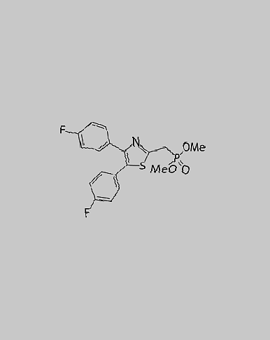 COP(=O)(Cc1nc(-c2ccc(F)cc2)c(-c2ccc(F)cc2)s1)OC